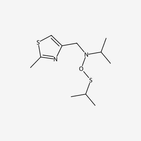 Cc1nc(CN(OSC(C)C)C(C)C)cs1